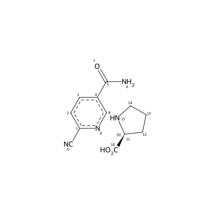 N#Cc1ccc(C(N)=O)cn1.O=C(O)[C@@H]1CCCN1